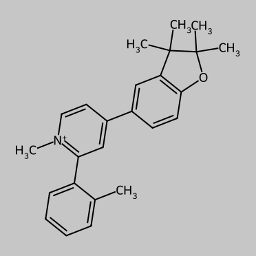 Cc1ccccc1-c1cc(-c2ccc3c(c2)C(C)(C)C(C)(C)O3)cc[n+]1C